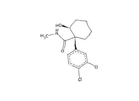 CNC(=O)[C@@]1(c2ccc(Cl)c(Cl)c2)CCCC[C@@H]1O